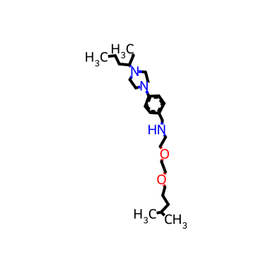 CCCC(CC)N1CCN(c2ccc(CNCCOCCOCCCC(C)C)cc2)CC1